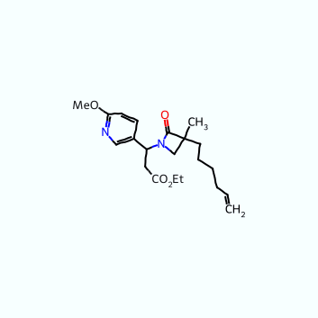 C=CCCCCC1(C)CN(C(CC(=O)OCC)c2ccc(OC)nc2)C1=O